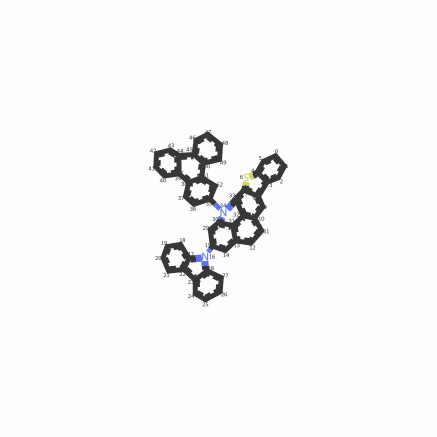 c1ccc2c(c1)sc1c2cc2ccc3cc(-n4c5ccccc5c5ccccc54)cc4c3c2c1n4-c1ccc2c3ccccc3c3ccccc3c2c1